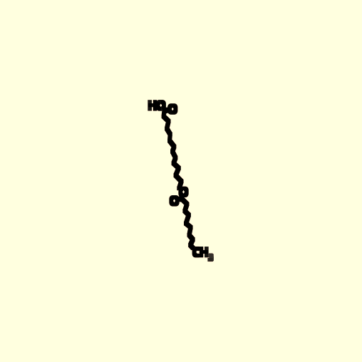 CCCCCCCCCC(=O)OCCCCCCCCCCCCCC(=O)O